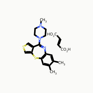 Cc1cc2c(cc1C)Sc1cscc1C(N1CCN(C)CC1)=N2.O=C(O)C=CC(=O)O